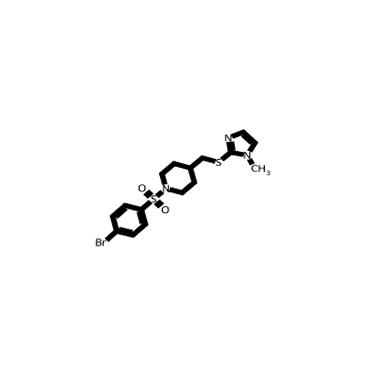 Cn1ccnc1SCC1CCN(S(=O)(=O)c2ccc(Br)cc2)CC1